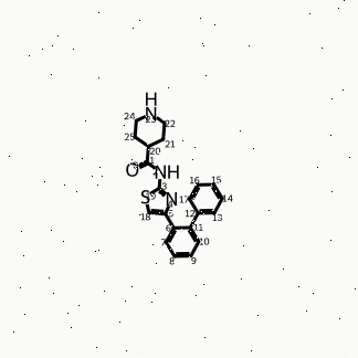 O=C(Nc1nc(-c2ccccc2-c2ccccc2)cs1)C1CCNCC1